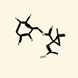 C/C(C=O)=C\C1(C(=O)OCc2c(F)c(F)cc(F)c2F)CC1(C)C